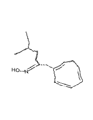 CC(C)CC(=NO)c1ccccc1